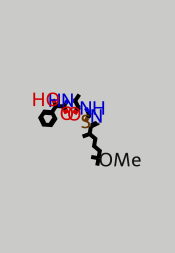 COC(C)(C)CCCC(C)c1cnc(NC(=O)C(C)NC(=O)C(O)c2ccccc2)s1